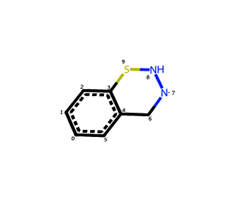 c1ccc2c(c1)C[N]NS2